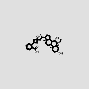 CC[C@H]1[C@@H](O)C2C3CCC([C@H](C)CC4(O)CC(c5ccccc5C(=O)O)C4)[C@@]3(C)CCC2[C@@]2(C)CC[C@@H](O)C[C@@H]12